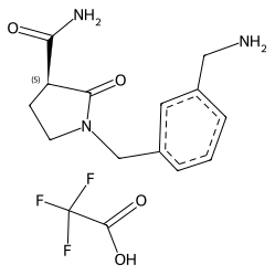 NCc1cccc(CN2CC[C@@H](C(N)=O)C2=O)c1.O=C(O)C(F)(F)F